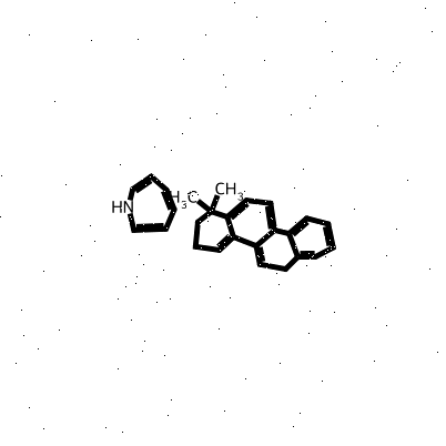 C1=CC=CNC=C1.CC1(C)CCC=c2c1ccc1c2=CCc2ccccc2-1